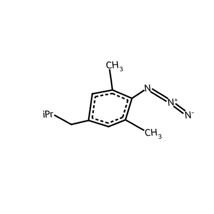 Cc1cc(CC(C)C)cc(C)c1N=[N+]=[N-]